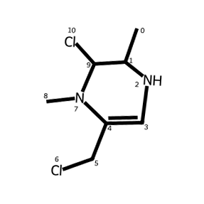 CC1NC=C(CCl)N(C)C1Cl